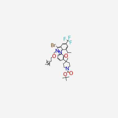 CC(OCC1(c2ccccc2)CCN(C(=O)OC(C)(C)C)CC1)c1cc(C(F)(F)F)cc2c(Br)n(COCC[Si](C)(C)C)nc12